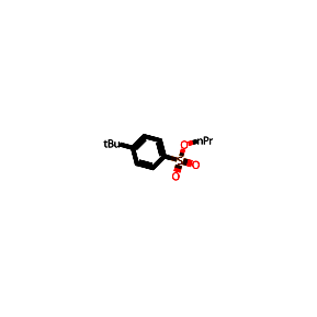 CCCOS(=O)(=O)c1ccc(C(C)(C)C)cc1